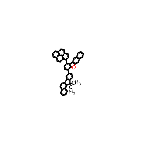 CC1(C)c2ccc(-c3ccc(-c4ccc5ccc6cccc7ccc4c5c67)c4c3oc3cc5ccccc5cc34)cc2-c2ccc3ccccc3c21